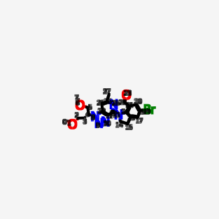 COCC[C@H](COC)n1nnc2c(N3CCc4cc(Br)cc(C=O)c43)nc(C)cc21